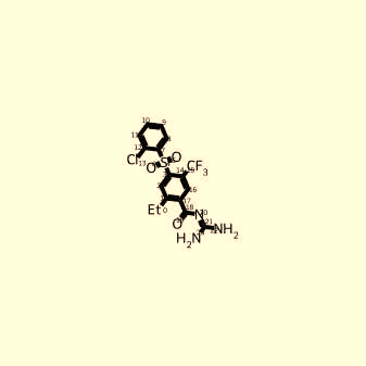 CCc1cc(S(=O)(=O)c2ccccc2Cl)c(C(F)(F)F)cc1C(=O)N=C(N)N